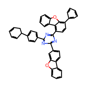 C1=CCC(c2ccc(-c3nc(-c4ccc5c(c4)oc4ccccc45)nc(-c4ccc(-c5ccccc5)c5oc6ccccc6c45)n3)cc2)C=C1